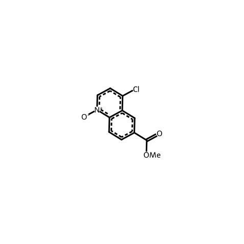 COC(=O)c1ccc2c(c1)c(Cl)cc[n+]2[O-]